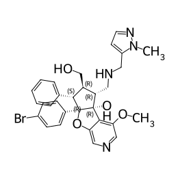 COc1cncc2c1[C@]1(O)[C@@H](CNCc3ccnn3C)[C@H](CO)[C@@H](c3ccccc3)[C@]1(c1ccc(Br)cc1)O2